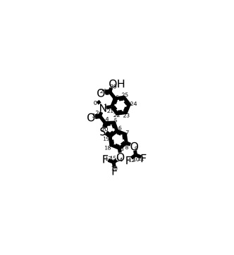 CN(C(=O)c1cc2cc(OC(F)F)c(OC(F)F)cc2s1)c1ccccc1C(=O)O